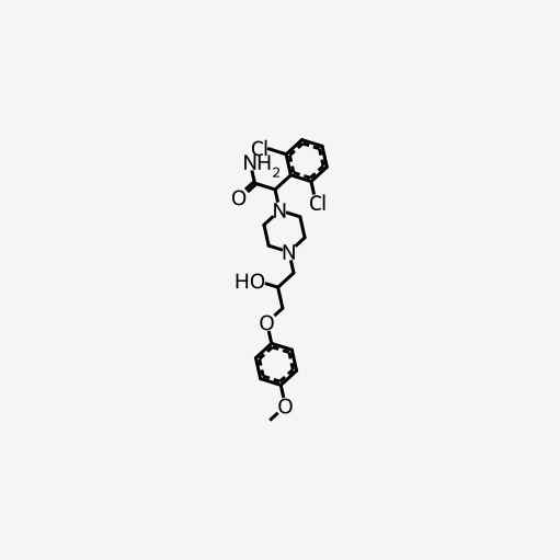 COc1ccc(OCC(O)CN2CCN(C(C(N)=O)c3c(Cl)cccc3Cl)CC2)cc1